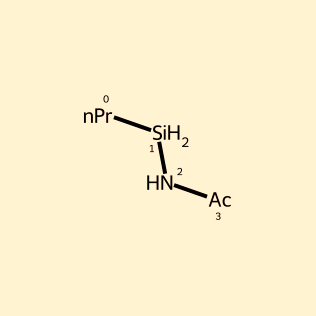 CCC[SiH2]NC(C)=O